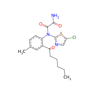 CCCCCC(=O)c1cc(C)ccc1N(C(=O)C(N)=O)c1ncc(Cl)s1